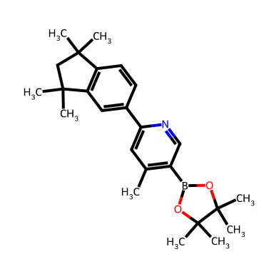 Cc1cc(-c2ccc3c(c2)C(C)(C)CC3(C)C)ncc1B1OC(C)(C)C(C)(C)O1